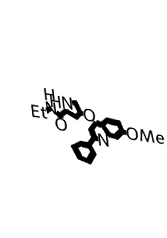 CCNC(=O)C1CC(Oc2cc(-c3ccccc3)nc3cc(OC)ccc23)CN1